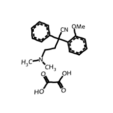 COc1ccccc1C(C#N)(CCN(C)C)c1ccccc1.O=C(O)C(=O)O